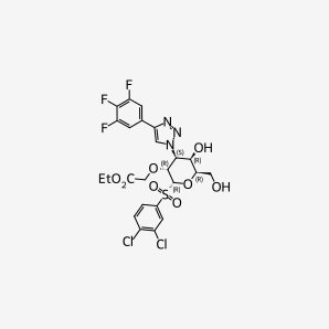 CCOC(=O)CO[C@@H]1[C@@H](n2cc(-c3cc(F)c(F)c(F)c3)nn2)[C@@H](O)[C@@H](CO)O[C@@H]1S(=O)(=O)c1ccc(Cl)c(Cl)c1